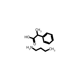 CC(C(=O)O)c1ccccc1.CCCCN